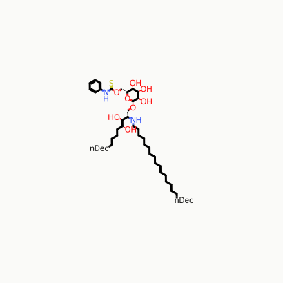 CCCCCCCCCCCCCCCCCCCCCCCCCCN[C@@H](CO[C@@H]1O[C@H](COC(=S)Nc2ccccc2)[C@H](O)[C@H](O)[C@H]1O)[C@H](O)[C@H](O)CCCCCCCCCCCCCC